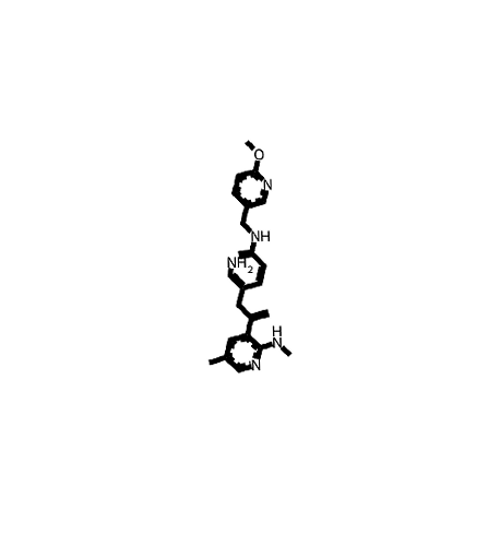 C=C(/C=C\C(=C/N)CC(=C)c1cc(C)cnc1NC)NCc1ccc(OC)nc1